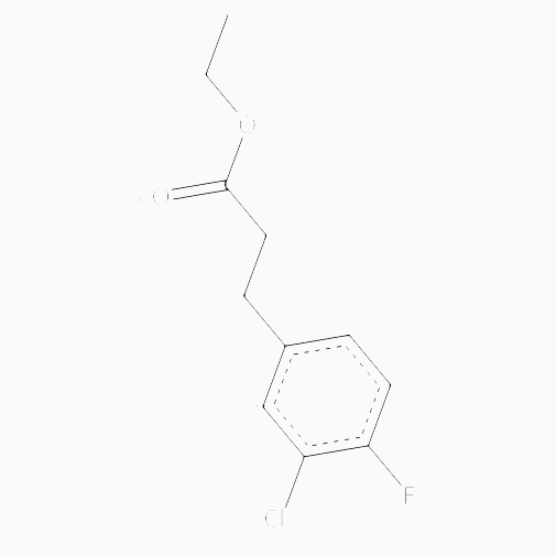 CCOC(=O)CCc1ccc(F)c(Cl)c1